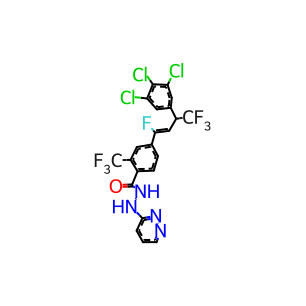 O=C(NNc1cccnn1)c1ccc(C(F)=CC(c2cc(Cl)c(Cl)c(Cl)c2)C(F)(F)F)cc1C(F)(F)F